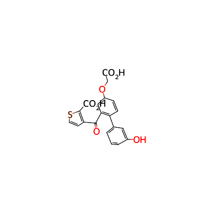 O=C(O)COc1ccc(-c2cccc(O)c2)c(C(=O)c2ccsc2C(=O)O)c1